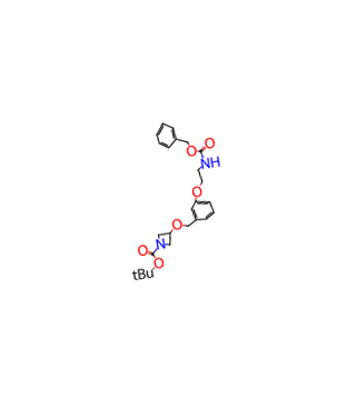 CC(C)(C)OC(=O)N1CC(OCc2cccc(OCCNC(=O)OCc3ccccc3)c2)C1